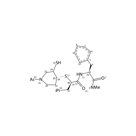 CNC(=O)[C@H](Cc1ccccc1)NC(=O)[C@@H](CC(C)C)S[C@@H]1CCN(C(C)=O)CC1S